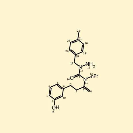 C=C(CCc1cccc(O)c1)N(CCC)C(=O)N(N)Cc1ccc(C)cc1